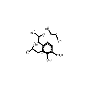 CCCCC(CC)Cc1ccc(C(=O)O)c(C(=O)O)c1CC(CC)CCCC.OCCO